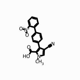 Cn1cc(C#N)c(-c2ccc(-c3ccccc3[N+](=O)[O-])cc2)c1C(=O)O